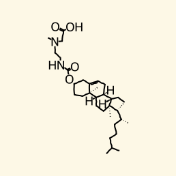 CC(C)CCC[C@@H](C)[C@H]1CC[C@H]2[C@@H]3CC=C4C[C@@H](OC(=O)NCCN(C)CC(=O)O)CC[C@]4(C)[C@H]3CC[C@]12C